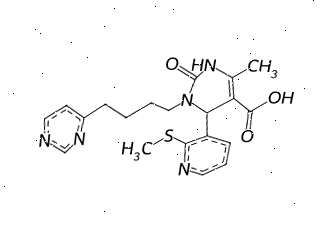 CSc1ncccc1C1C(C(=O)O)=C(C)NC(=O)N1CCCCc1ccncn1